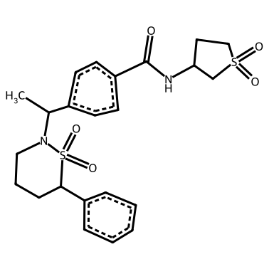 CC(c1ccc(C(=O)NC2CCS(=O)(=O)C2)cc1)N1CCCC(c2ccccc2)S1(=O)=O